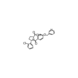 O=C(O)[C@@H]1CC[C@H](c2ccccc2Cl)N1C(=O)c1ccc(OCc2cccnc2)cc1